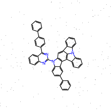 c1ccc(-c2ccc(-c3nc(-n4c5ccc(-c6ccccc6)cc5c5c6c7ccccc7n7c8ccccc8c(cc54)c67)nc4ccccc34)cc2)cc1